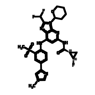 Cn1cnc(-c2ccc(Nc3cc(NC(=O)[C@@H]4C[C@@H]4F)nc4c3nc(C(F)F)n4C3CCCCO3)c(S(C)(=O)=O)c2)c1